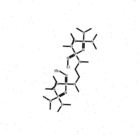 CCN=P(N=P(N(C)C)(N(C)C)N(C)C)(N(C)C)N(C)CCN(C)P(=NC(C)(C)C)(N=P(N(C)C)(N(C)C)N(C)C)N(C)C